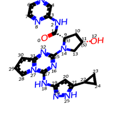 O=C(Nc1cnccn1)[C@@H]1C[C@H](O)CN1c1nc(Nc2cc(C3CC3)[nH]n2)n2cccc2n1